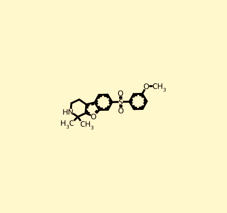 COc1cccc(S(=O)(=O)c2ccc3c4c(oc3c2)C(C)(C)NCC4)c1